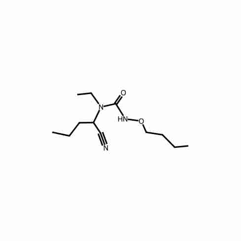 CCCCONC(=O)N(CC)C(C#N)CCC